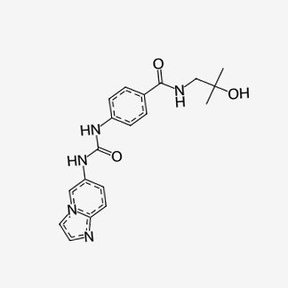 CC(C)(O)CNC(=O)c1ccc(NC(=O)Nc2ccc3nccn3c2)cc1